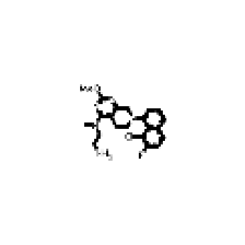 COc1nc2c(c(N(C)CCN)n1)CCN(c1cccc3ccc(F)c(Cl)c13)C2